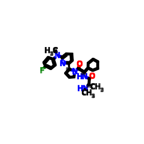 CN[C@@H](C)C(=O)N[C@H](C(=O)N1CCC[C@H]1c1cccc(N(C)c2ccc(F)cc2)n1)C1CCCCC1